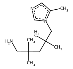 Cc1cncn1CC(C)(C)CC(C)(C)CN